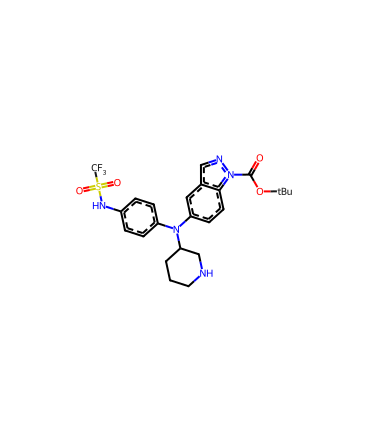 CC(C)(C)OC(=O)n1ncc2cc(N(c3ccc(NS(=O)(=O)C(F)(F)F)cc3)C3CCCNC3)ccc21